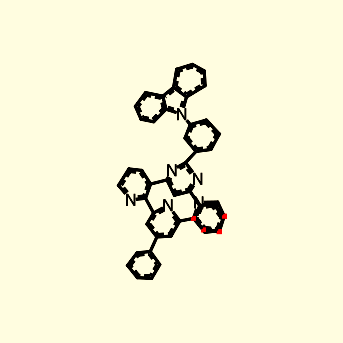 c1ccc(-c2cc(-c3ccccn3)nc(-c3ncccc3-c3cc(-c4ccccc4)nc(-c4cccc(-n5c6ccccc6c6ccccc65)c4)n3)c2)cc1